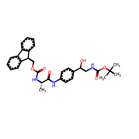 C[C@H](NC(=O)OCC1c2ccccc2-c2ccccc21)C(=O)Nc1ccc(C(O)CNC(=O)OC(C)(C)C)cc1